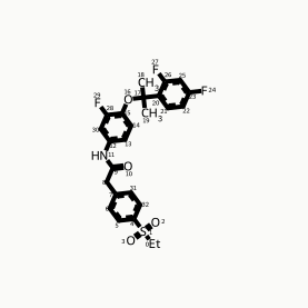 CCS(=O)(=O)c1ccc(CC(=O)Nc2ccc(OC(C)(C)c3ccc(F)cc3F)c(F)c2)cc1